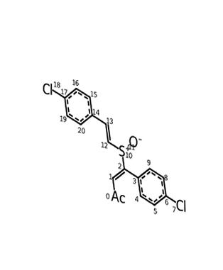 CC(=O)/C=C(\c1ccc(Cl)cc1)[S+]([O-])C=Cc1ccc(Cl)cc1